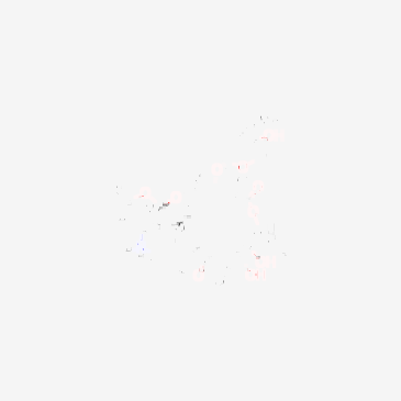 CO[C@H]1[C@H](O[C@@H]2[C@@H](C)[C@H](O[C@@H]3C[C@@](C)(OC)[C@@H](O)[C@H](C)O3)[C@@H](C)C(=O)O[C@@H]3C(C)[C@]3(O)[C@H](O)[C@@H](C)C(=O)[C@H](C)C[C@]2(C)OC)O[C@H](C)C[C@@H]1N(C)C(C)C